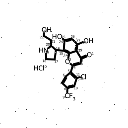 Cl.O=c1cc(-c2ccc(C(F)(F)F)cc2Cl)oc2c(C3CCNC3CCO)c(O)cc(O)c12